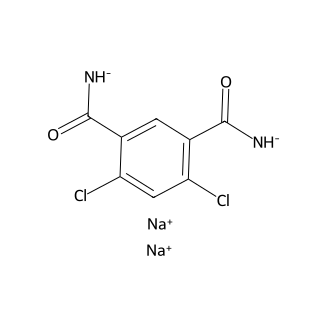 [NH-]C(=O)c1cc(C([NH-])=O)c(Cl)cc1Cl.[Na+].[Na+]